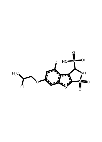 CC(Cl)COc1cc(F)c2c3c(sc2c1)S(=O)(=O)NC3P(=O)(O)O